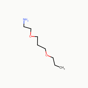 CCCOCCCOCCN